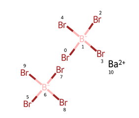 Br[B-](Br)(Br)Br.Br[B-](Br)(Br)Br.[Ba+2]